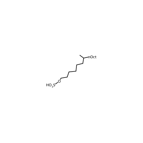 CCCCCCCCC(C)CCCCCCOS(=O)(=O)O